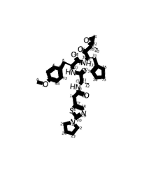 COc1ccc(C[C@H](NC(=O)[C@H](C)NC(=O)Cc2cnc(N3CCCC3)s2)C(=O)N[C@@H](CC2=CCCC2)C(=O)[C@]2(C)CO2)cc1